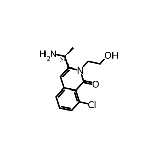 C[C@H](N)c1cc2cccc(Cl)c2c(=O)n1CCO